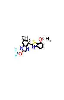 COc1cccc2nc(-c3cc(C)cc4nc(OC(F)F)cnc34)sc12